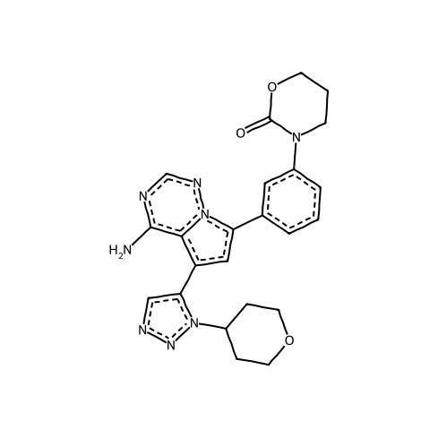 Nc1ncnn2c(-c3cccc(N4CCCOC4=O)c3)cc(-c3cnnn3C3CCOCC3)c12